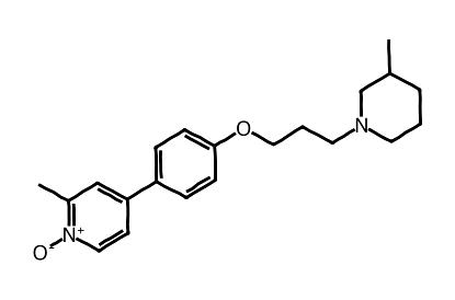 Cc1cc(-c2ccc(OCCCN3CCCC(C)C3)cc2)cc[n+]1[O-]